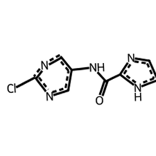 O=C(Nc1cnc(Cl)nc1)c1ncc[nH]1